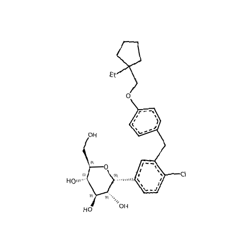 CCC1(COc2ccc(Cc3cc([C@H]4O[C@H](CO)[C@@H](O)[C@H](O)[C@H]4O)ccc3Cl)cc2)CCCC1